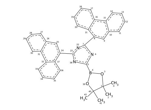 CC1(C)OB(c2nc(-c3cc4ccccc4c4ccccc34)nc(-c3cc4ccccc4c4ccccc34)n2)OC1(C)C